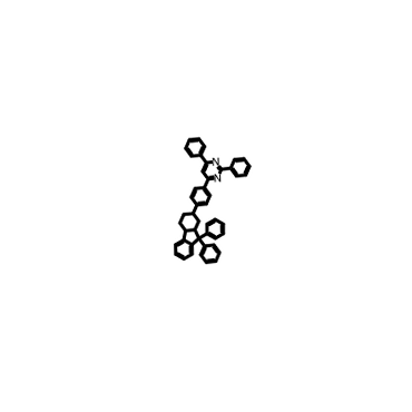 c1ccc(-c2cc(-c3ccc(C4CCC5c6ccccc6C(c6ccccc6)(c6ccccc6)C5C4)cc3)nc(-c3ccccc3)n2)cc1